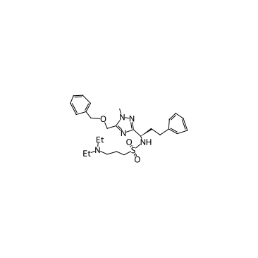 CCN(CC)CCCS(=O)(=O)N[C@H](CCc1ccccc1)c1nc(COCc2ccccc2)n(C)n1